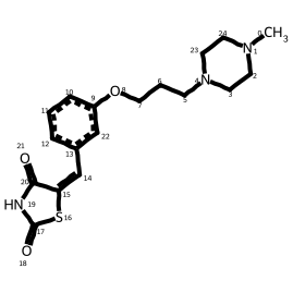 CN1CCN(CCCOc2cccc(C=C3SC(=O)NC3=O)c2)CC1